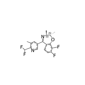 Cc1cc(C2=N[C@@H](C)[C@H](C)Oc3c2ccc(F)c3F)cnc1C(F)F